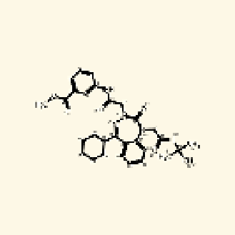 COC(=O)c1cccc(NC(=O)CN2N=C(C3CCCCC3)c3ccccc3N(CC(=O)OC(C)(C)C)C2=O)c1